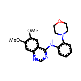 COc1cc2ncnc(Nc3ccccc3N3CCOCC3)c2cc1OC